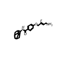 NCC=C(F)COc1ccc(C(=O)NC2C3CC4CC(C3)CC2C4)cc1